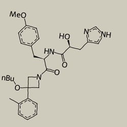 CCCCOC1(c2ccccc2C)CN(C(=O)[C@@H](Cc2ccc(OC)cc2)NC(=O)[C@@H](O)Cc2c[nH]cn2)C1